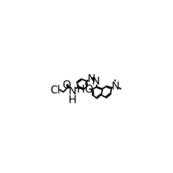 CN(C)c1ccc2ccc(O)c(/N=N\c3ccc(NC(=O)CCl)cc3)c2c1